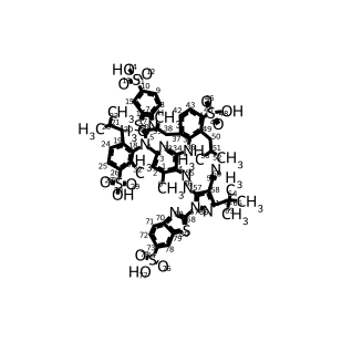 Cc1cc(N(c2nc3ccc(S(=O)(=O)O)cc3s2)c2c(CC(C)C)ccc(S(=O)(=O)O)c2C)nc(Nc2c(CC(C)C)ccc(S(=O)(=O)O)c2CC(C)C)c1N=Nc1c(C#N)c(C(C)(C)C)nn1-c1nc2ccc(S(=O)(=O)O)cc2s1